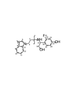 CC(C)(CCn1cnc2ccccc21)NC(CO)c1ccc(O)cc1F